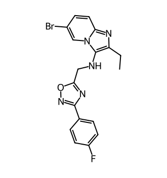 CCc1nc2ccc(Br)cn2c1NCc1nc(-c2ccc(F)cc2)no1